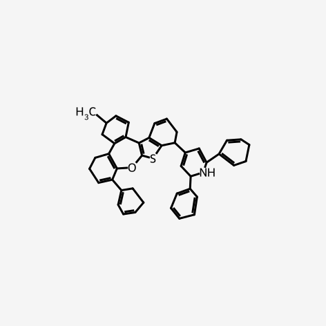 CC1C=CC2=C(C1)C1=C(Oc3sc4c(c32)C=CCC4C2=CC(c3ccccc3)NC(C3=CCCC=C3)=C2)C(C2=CC=CCC2)=CCC1